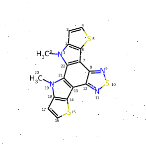 Cn1c2ccsc2c2c3nsnc3c3c4sccc4n(C)c3c21